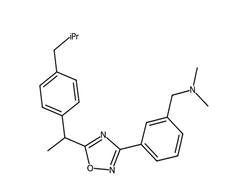 CC(C)Cc1ccc(C(C)c2nc(-c3cccc(CN(C)C)c3)no2)cc1